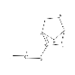 C=C=CC1=C2CCC(C1)C2